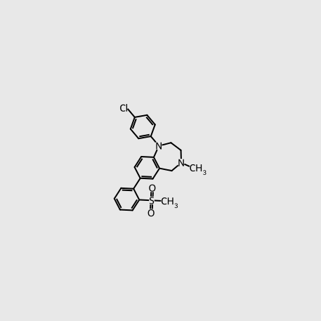 CN1CCN(c2ccc(Cl)cc2)c2ccc(-c3ccccc3S(C)(=O)=O)cc2C1